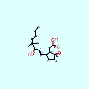 CCCCC(C)(C)C(O)/C=C/C1CCC(=O)C1CC(=O)O